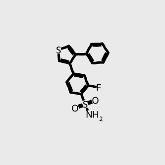 NS(=O)(=O)c1ccc(-c2cscc2-c2ccccc2)cc1F